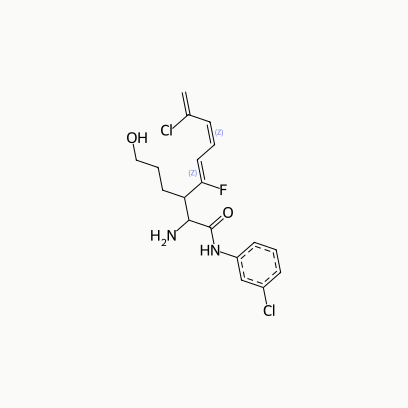 C=C(Cl)/C=C\C=C(/F)C(CCCO)C(N)C(=O)Nc1cccc(Cl)c1